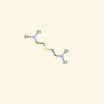 CCN(CC)CCSCCN(CC)CC